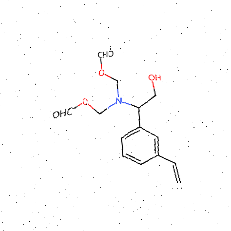 C=Cc1cccc(C(CO)N(COC=O)COC=O)c1